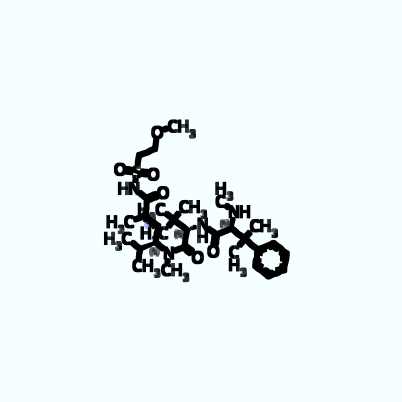 CN[C@H](C(=O)N[C@H](C(=O)N(C)[C@H](/C=C(\C)C(=O)NS(=O)(=O)CCOC)C(C)C)C(C)(C)C)C(C)(C)c1ccccc1